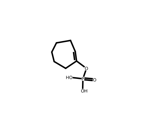 O=P(O)(O)OC1=CCCCCC1